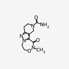 CN1OCCn2nc3c(c2C1=O)CN(C(N)=O)CC3